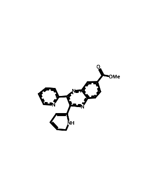 COC(=O)c1ccc2nc(C3=CC=CCN3)c(-c3ccccn3)nc2c1